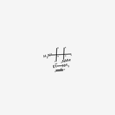 C=C.CNC(C)(C)C(C)(C)N.[CH2]CN